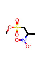 COS(=O)(=O)CC(C)[N+](=O)[O-]